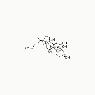 CC(C)CCCC(C)[C@H]1CC[C@H]2C3=C[C@@H](O)[C@@]4(O)C[C@@H](O)CC[C@]4(C)[C@]34O[C@@H]4C[C@]12C